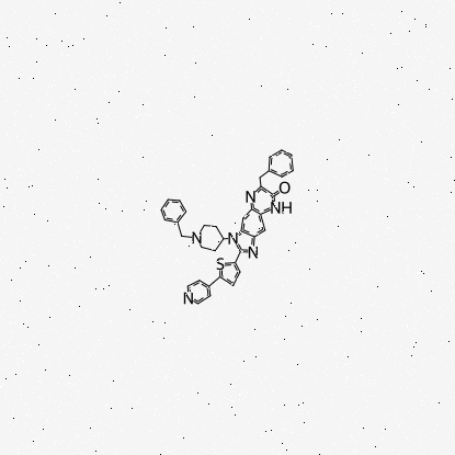 O=c1[nH]c2cc3nc(-c4ccc(-c5ccncc5)s4)n(C4CCN(Cc5ccccc5)CC4)c3cc2nc1Cc1ccccc1